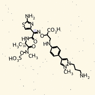 C[C@H](NC(=O)/C(=N\OC(CNc1ccc(-c2cn(CCCN)[n+](C)c2)cc1)C(=O)O)c1csc(N)n1)C(=O)N(C)OS(=O)(=O)O